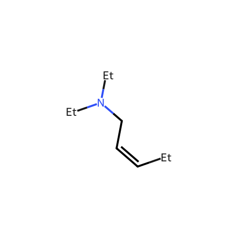 CC/C=C\CN(CC)CC